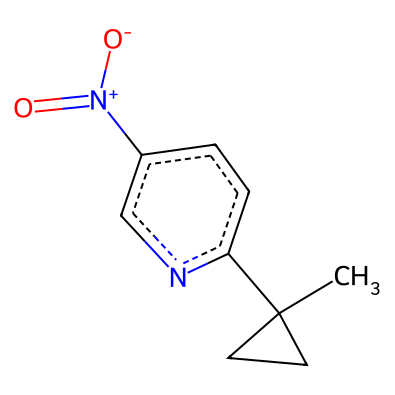 CC1(c2ccc([N+](=O)[O-])cn2)CC1